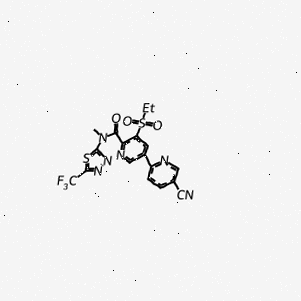 CCS(=O)(=O)c1cc(-c2ccc(C#N)cn2)cnc1C(=O)N(C)c1nnc(C(F)(F)F)s1